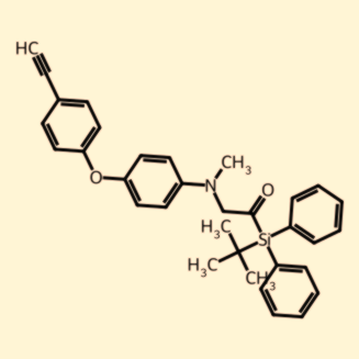 C#Cc1ccc(Oc2ccc(N(C)CC(=O)[Si](c3ccccc3)(c3ccccc3)C(C)(C)C)cc2)cc1